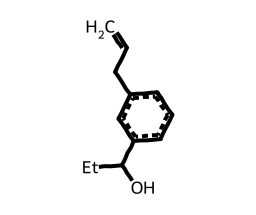 C=CCc1cccc(C(O)CC)c1